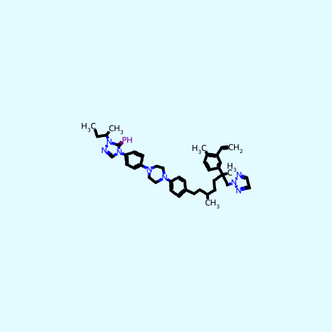 C=Cc1cc(C(C)(CCC(C)CCc2ccc(N3CCN(c4ccc(-n5cnn(C(C)CC)c5=P)cc4)CC3)cc2)Cn2nccn2)ccc1C